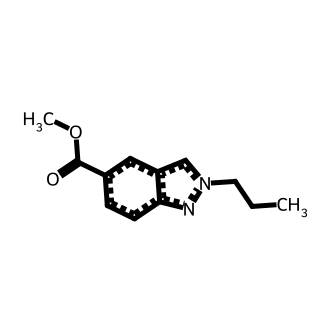 CCCn1cc2cc(C(=O)OC)ccc2n1